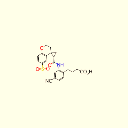 CS(=O)(=O)c1ccc2c(c1)[C@]1(CCO2)C[C@H]1C(=O)Nc1cc(C#N)ccc1CCCC(=O)O